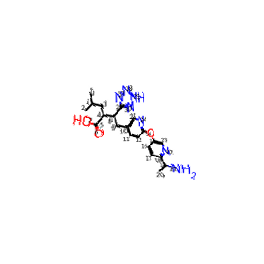 CC(C)C[C@H](C(=O)O)[C@H](Cc1ccc(Oc2ccc(C(C)N)nc2)nc1)c1nn[nH]n1